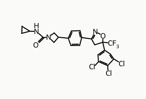 O=C(NC1CC1)N1CC(c2ccc(C3=NOC(c4cc(Cl)c(Cl)c(Cl)c4)(C(F)(F)F)C3)cc2)C1